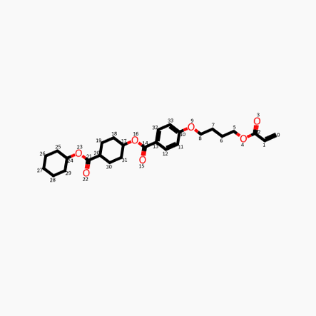 C=CC(=O)OCCCCOc1ccc(C(=O)OC2CCC(C(=O)OC3CCCCC3)CC2)cc1